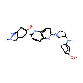 Cn1cc2cc(-c3ccc4nc(N5CCC(NC67CC(O)C(C6)C7)C5)ccc4n3)c(O)cc2n1